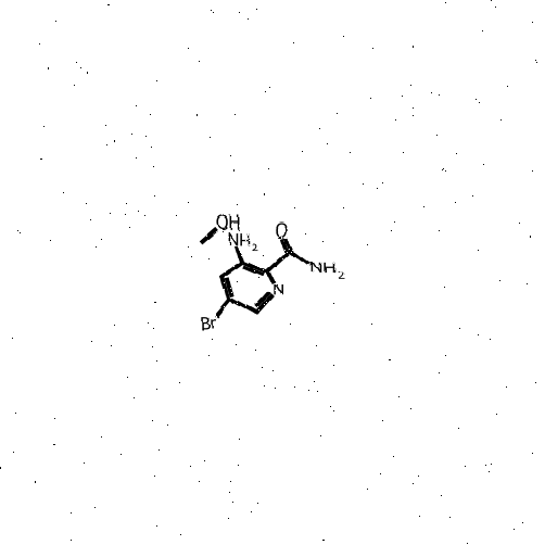 CO.NC(=O)c1ncc(Br)cc1N